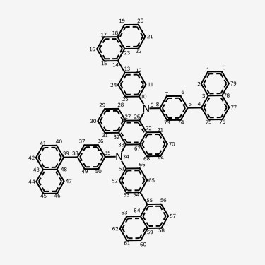 c1ccc2c(-c3ccc(N(c4ccc(-c5cccc6ccccc56)cc4)c4c5ccccc5c(N(c5ccc(-c6cccc7ccccc67)cc5)c5ccc(-c6cccc7ccccc67)cc5)c5ccccc45)cc3)cccc2c1